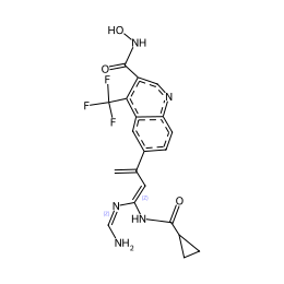 C=C(/C=C(\N=C/N)NC(=O)C1CC1)c1ccc2ncc(C(=O)NO)c(C(F)(F)F)c2c1